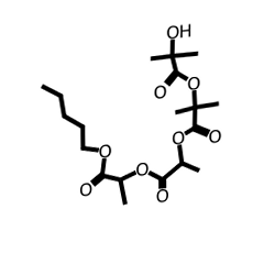 CCCCCOC(=O)C(C)OC(=O)C(C)OC(=O)C(C)(C)OC(=O)C(C)(C)O